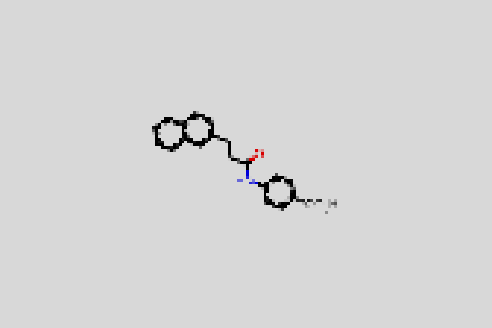 O=C(CCc1ccc2ccccc2c1)Nc1ccc(C(=O)O)cc1